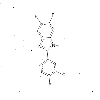 Fc1ccc(-c2nc3cc(F)c(F)cc3[nH]2)cc1F